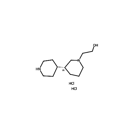 Cl.Cl.OCCN1CCC[C@H](C2CCNCC2)C1